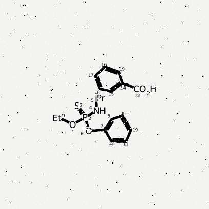 CCOP(=S)(NC(C)C)Oc1ccccc1.O=C(O)c1ccccc1